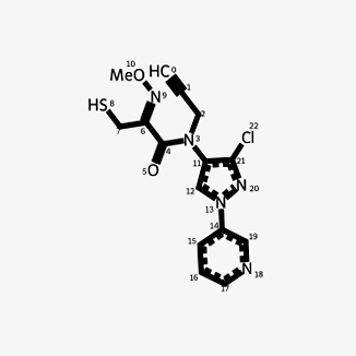 C#CCN(C(=O)C(CS)=NOC)c1cn(-c2cccnc2)nc1Cl